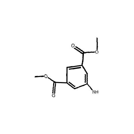 COC(=O)c1cc([NH])cc(C(=O)OC)c1